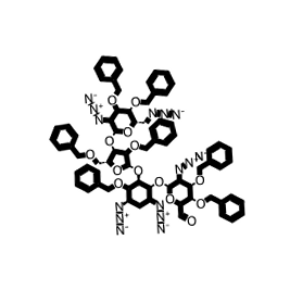 [N-]=[N+]=NC[C@@H]1O[C@H](O[C@@H]2C(OCc3ccccc3)[C@H](O[C@@H]3C(OCc4ccccc4)[C@H](N=[N+]=[N-])CC(N=[N+]=[N-])[C@H]3O[C@H]3OC(C=O)[C@@H](OCc4ccccc4)[C@@H](OCc4ccccc4)C3N=[N+]=[N-])O[C@@H]2COCc2ccccc2)C(N=[N+]=[N-])C(OCc2ccccc2)[C@@H]1OCc1ccccc1